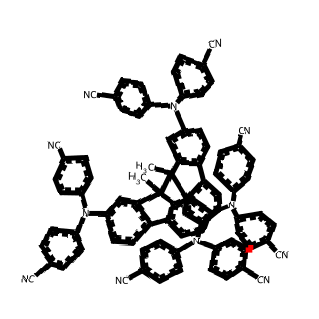 CC1(C2(C)c3cc(N(c4ccc(C#N)cc4)c4ccc(C#N)cc4)ccc3-c3ccc(N(c4ccc(C#N)cc4)c4ccc(C#N)cc4)cc32)c2cc(N(c3ccc(C#N)cc3)c3ccc(C#N)cc3)ccc2-c2ccc(N(c3ccc(C#N)cc3)c3ccc(C#N)cc3)cc21